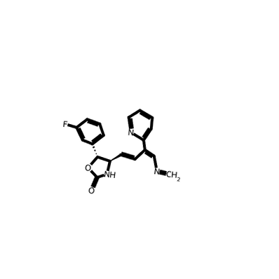 C=N/C=C(\C=C\[C@H]1NC(=O)O[C@@H]1c1cccc(F)c1)c1ccccn1